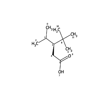 CC(C)[C@H](CC(=O)O)C(C)(C)C